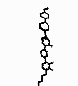 C=CC1CCC(C2CC=C(c3ccc(-c4ccc(-c5ccc(CCC/C=C\C)c(F)c5F)cc4)c(F)c3)CC2)CC1